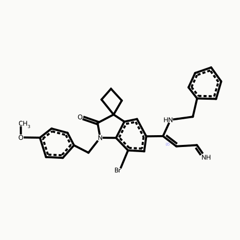 COc1ccc(CN2C(=O)C3(CCC3)c3cc(/C(=C/C=N)NCc4ccccc4)cc(Br)c32)cc1